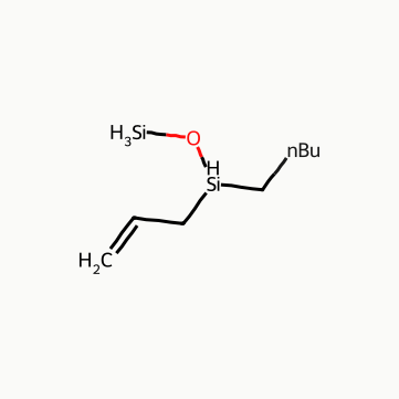 C=CC[SiH](CCCCC)O[SiH3]